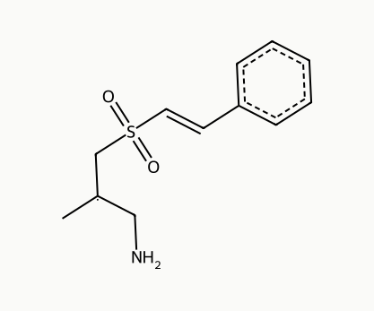 C[C](CN)CS(=O)(=O)C=Cc1ccccc1